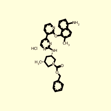 Cc1ccc2c(N)cccc2c1Oc1ncccc1-c1ccnc(N[C@H]2C[C@@H](C)CN(C(=O)OCc3ccccc3)C2)n1.Cl